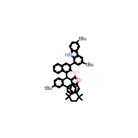 CC(C)(C)c1ccc(C2c3c(c(-c4cc(C(C)(C)C)cc5c4[nH]c4ccc(C(C)(C)C)cc45)cc4ccccc34)Bc3oc4cc5c(cc4c32)C(C)(C)CCC5(C)C)c(-c2ccccc2)c1